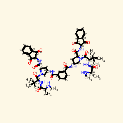 CN[C@@H](C)C(=O)NC(C(=O)N1C[C@@H](NC(=O)c2cccc(C(=O)N[C@H]3CC(C(=O)NC4C(=O)c5ccccc5C4=O)N(C(=O)[C@@H](NC(=O)[C@H](C)NC)C(C)(C)C)C3)c2)C[C@H]1C(=O)NC1C(=O)c2ccccc2C1=O)C(C)(C)C